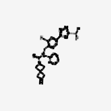 Fc1cc(-c2nnc(C(F)F)o2)ccc1CN(C(=S)N1CC2(CNC2)C1)c1ccccc1